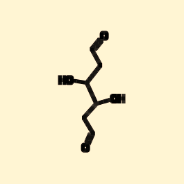 O=CCC(O)C(O)CC=O